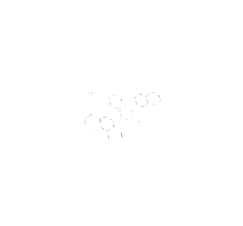 CSc1ccc2c(-c3ccc4ccccc4c3)c3c(c(-c4cc5c(c6c4C=CCC6)CCC=C5)c2c1)CCC(S(C)(C)C)=C3